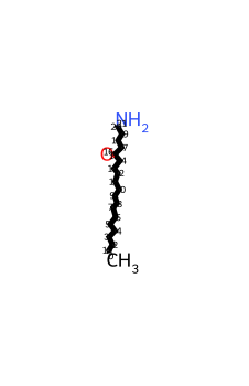 CCCCCCCCCCCCCCCC(=O)CCCCN